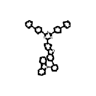 c1ccc(-c2ccc(-c3nc(-c4ccc(-c5ccccc5)cc4)nc(-c4ccc5c(c4)oc4cc(-c6ccccc6-n6c7ccccc7c7ccccc76)ccc45)n3)cc2)cc1